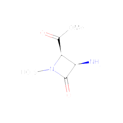 COC(=O)[C@H]1[C@@H](N)C(=O)N1S(=O)(=O)O